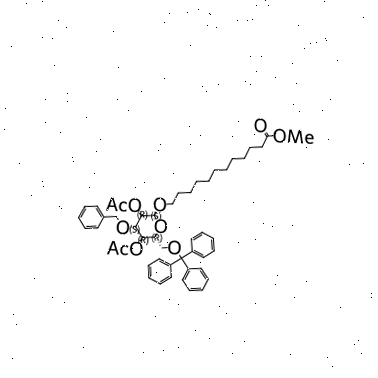 COC(=O)CCCCCCCCCCCO[C@H]1O[C@H](COC(c2ccccc2)(c2ccccc2)c2ccccc2)[C@@H](OC(C)=O)[C@H](OCc2ccccc2)[C@H]1OC(C)=O